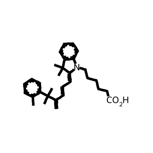 C=C(/C=C/C=C1/N(CCCCCC(=O)O)c2ccccc2C1(C)C)C(C)(C)c1ccccc1C